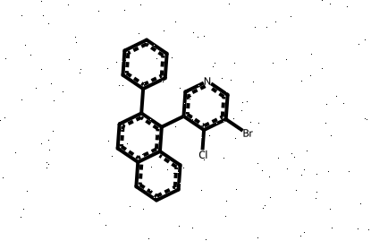 Clc1c(Br)cncc1-c1c(-c2ccccc2)ccc2ccccc12